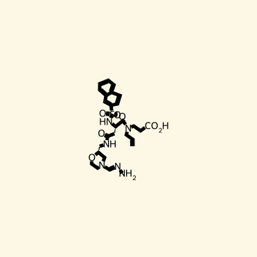 C=CCN(CCC(=O)O)C(=O)[C@H](CC(=O)NC[C@@H]1CN(C=NN)CCO1)NS(=O)(=O)c1ccc2ccccc2c1